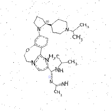 CC(=N)/N=C(\NC(C)C)c1cn2c(n1)-c1ccc(N3CCC[C@H]3C3CCN(C(C)C)CC3)cc1OCC2